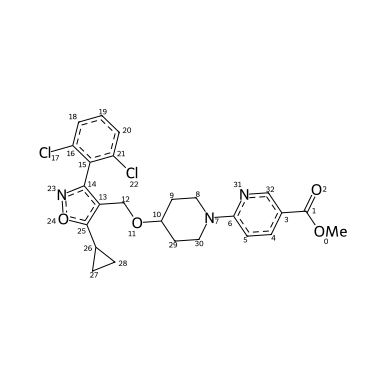 COC(=O)c1ccc(N2CCC(OCc3c(-c4c(Cl)cccc4Cl)noc3C3CC3)CC2)nc1